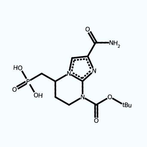 CC(C)(C)OC(=O)N1CCC(CP(=O)(O)O)n2cc(C(N)=O)nc21